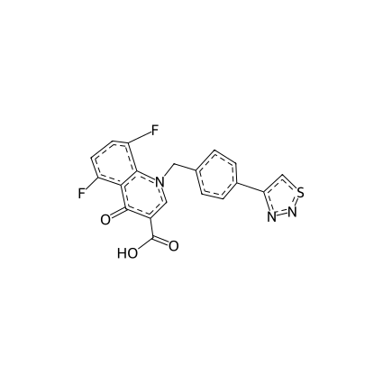 O=C(O)c1cn(Cc2ccc(-c3csnn3)cc2)c2c(F)ccc(F)c2c1=O